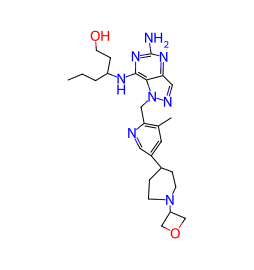 CCCC(CCO)Nc1nc(N)nc2cnn(Cc3ncc(C4CCN(C5COC5)CC4)cc3C)c12